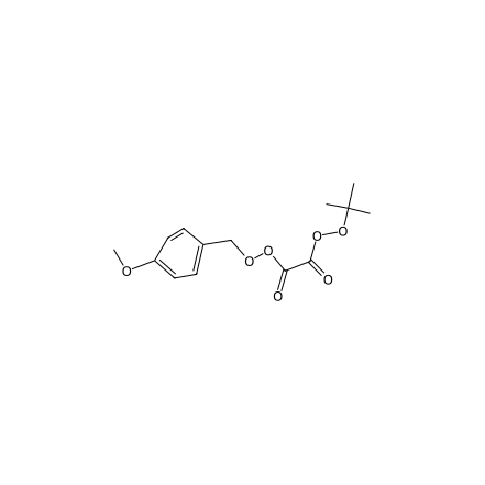 COc1ccc(COOC(=O)C(=O)OOC(C)(C)C)cc1